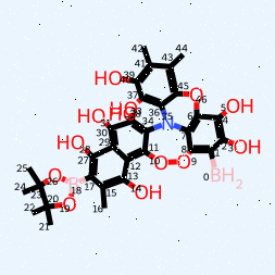 Bc1c(O)c(O)c2c3c1ooc1c4c(O)c(C)c(B5OC(C)(C)C(C)(C)O5)c(O)c4c(O)c(O)c1n3-c1c(O)c(O)c(C)c(C)c1O2